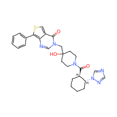 O=C([C@@H]1CCCC[C@H]1n1cncn1)N1CCC(O)(Cn2cnc3c(-c4ccccc4)scc3c2=O)CC1